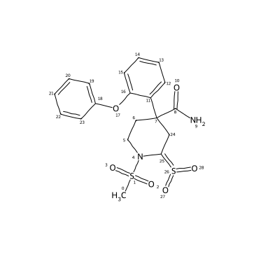 CS(=O)(=O)N1CCC(C(N)=O)(c2ccccc2Oc2ccccc2)CC1=S(=O)=O